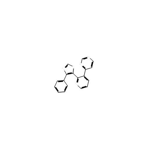 c1ccc(-c2ncsc2-c2ncccc2-c2ccncn2)cc1